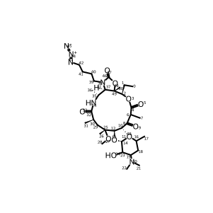 CC[C@H]1OC(=O)C(C)C(=O)[C@H](C)[C@@H](O[C@@H]2OC(C)CC(N(C)C)C2O)[C@](C)(OC)C[C@@H](C)C(=O)N[C@H](C)[C@H]2N(CCCCN=[N+]=[N-])C(=O)O[C@]12C